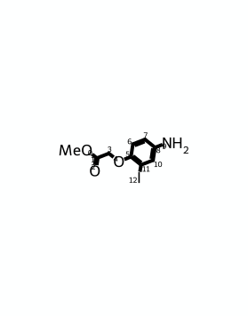 COC(=O)COc1ccc(N)cc1I